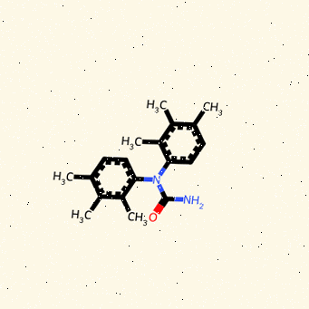 Cc1ccc(N(C(N)=O)c2ccc(C)c(C)c2C)c(C)c1C